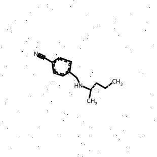 CCCC(C)NCc1ccc(C#N)cc1